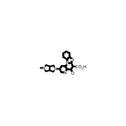 CN1CC2CN(c3cnc4c(=O)c(C(=O)O)c5sc6ccccc6n5c4c3)CC2C1